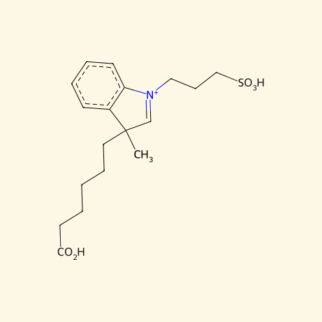 CC1(CCCCCC(=O)O)C=[N+](CCCS(=O)(=O)O)c2ccccc21